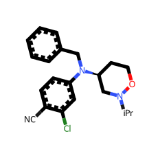 CC(C)N1C[C@@H](N(Cc2ccccc2)c2ccc(C#N)c(Cl)c2)CCO1